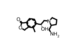 Cc1c([C@@H](O)CN2CCCC2CN)ccc2c1COC2=O